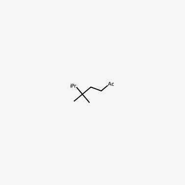 CC(=O)CCC(C)(C)C(C)C